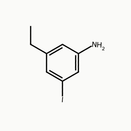 CCc1cc(N)cc(I)c1